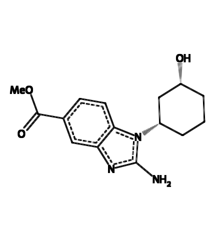 COC(=O)c1ccc2c(c1)nc(N)n2[C@H]1CCC[C@@H](O)C1